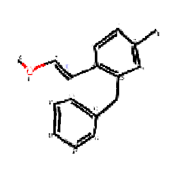 CO/C=C/c1ccc(C)cc1Cc1ccccc1